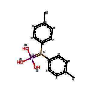 Cc1ccc(S(c2ccc(C)cc2)=P(O)(O)O)cc1